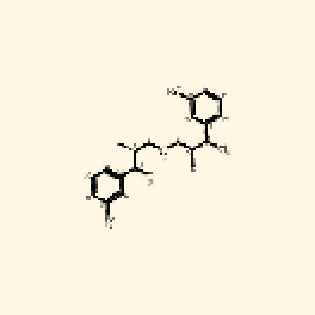 C[C@@H](COC[C@H](C)C(Cl)c1cccc(Br)c1)C(Cl)c1cccc(Br)c1